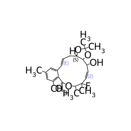 Cc1cc(C)c2c(c1)/C=C/C[C@@H]1OC(C)(C)OC1C(O)/C=C\C(C)(F)C(C)OC2=O